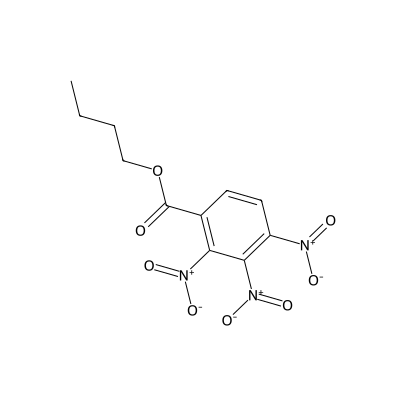 CCCCOC(=O)c1ccc([N+](=O)[O-])c([N+](=O)[O-])c1[N+](=O)[O-]